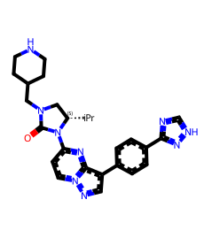 CC(C)[C@H]1CN(CC2CCNCC2)C(=O)N1c1ccn2ncc(-c3ccc(-c4nc[nH]n4)cc3)c2n1